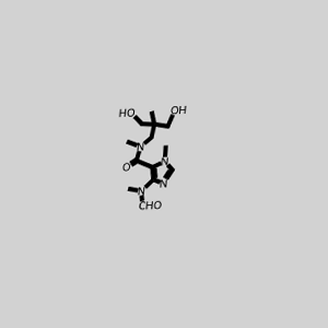 CN(CC(C)(CO)CO)C(=O)c1c(N(C)C=O)ncn1C